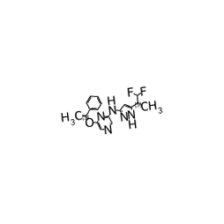 C[C@H](Oc1cncc(Nc2cc([C@H](C)C(F)F)[nH]n2)n1)c1ccccc1